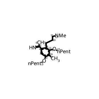 CCCCCOc1cc(C(C)=N)c(CCCNC)c(OCCCCC)c1C